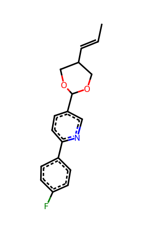 CC=CC1COC(c2ccc(-c3ccc(F)cc3)nc2)OC1